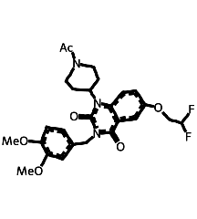 COc1ccc(Cn2c(=O)c3cc(OCC(F)F)ccc3n(C3CCN(C(C)=O)CC3)c2=O)cc1OC